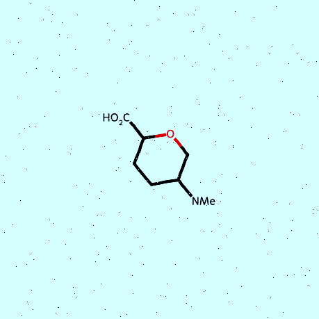 CNC1CCC(C(=O)O)OC1